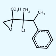 CCC(C)(C(C)c1ccccc1)C1(C(=O)O)CO1